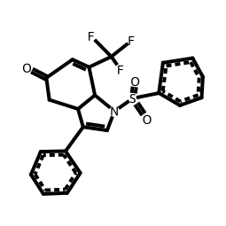 O=C1C=C(C(F)(F)F)C2C(C1)C(c1ccccc1)=CN2S(=O)(=O)c1ccccc1